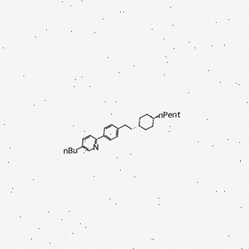 CCCCC[C@H]1CC[C@H](CCc2ccc(-c3ccc(CCCC)cn3)cc2)CC1